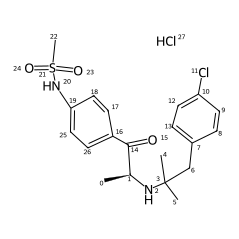 C[C@H](NC(C)(C)Cc1ccc(Cl)cc1)C(=O)c1ccc(NS(C)(=O)=O)cc1.Cl